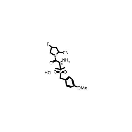 COc1ccc(CS(=O)(=O)C(C)(C)[C@H](N)C(=O)N2CC(F)CC2C#N)cc1.Cl